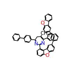 CC1=C(c2ccccc2)N=C(c2cccc3oc4ccc(-c5cccc(-c6ccc7oc8ccccc8c7c6)c5)cc4c23)N=C(c2ccc(-c3ccccc3)cc2)C1